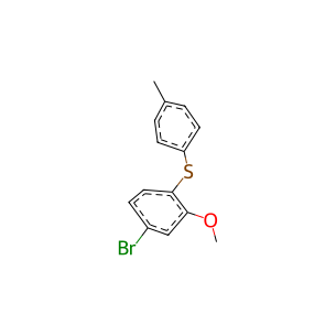 COc1cc(Br)ccc1Sc1ccc(C)cc1